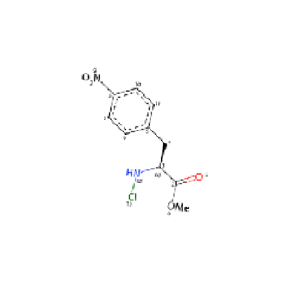 COC(=O)[C@H](Cc1ccc([N+](=O)[O-])cc1)NCl